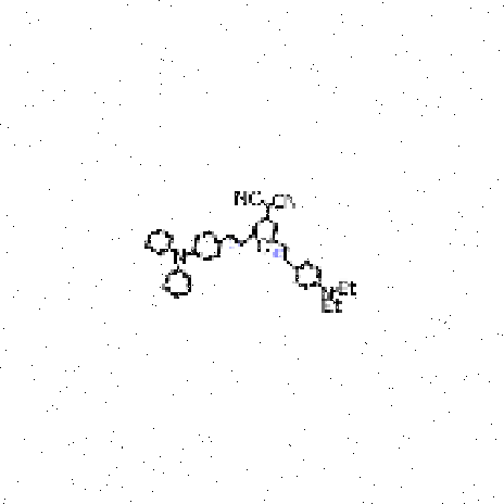 CCN(CC)c1ccc(/C=C/C2=CC(=C(C#N)C#N)C=C(/C=C/c3ccc(N(c4ccccc4)c4ccccc4)cc3)O2)cc1